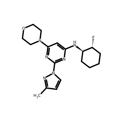 Cc1ccn(-c2nc(N[C@@H]3CCCC[C@H]3F)cc(N3CCOCC3)n2)n1